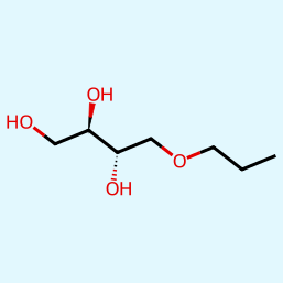 CCCOC[C@H](O)[C@H](O)CO